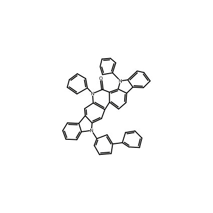 O=c1c2c(ccc3c4ccccc4n(-c4ccccc4)c32)c2cc3c(cc2n1-c1ccccc1)c1ccccc1n3-c1cccc(-c2ccccc2)c1